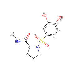 CCCNC(=O)[C@@H]1CCCN1S(=O)(=O)c1ccc(O)c(O)c1